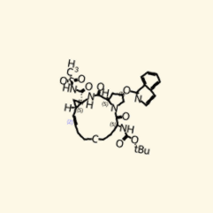 CC(C)(C)OC(=O)N[C@H]1CCCCC/C=C\[C@@H]2C[C@@]2(C(=O)NS(C)(=O)=O)NC(=O)[C@@H]2C[C@@H](Oc3nccc4ccccc34)CN2C1=O